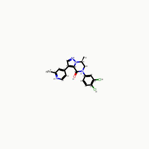 CCCc1cc(-c2cnn3c2C(=O)N(c2ccc(Cl)c(Cl)c2)C[C@@H]3C)ccn1